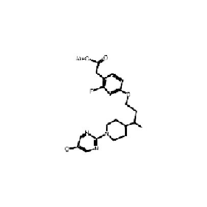 COC(=O)Cc1ccc(OCCC(C)C2CCN(c3ncc(Cl)cn3)CC2)cc1F